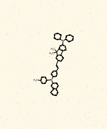 Cc1ccc(N(c2ccc(/C=C/c3ccc4c(c3)C(C)(C)c3cc(N(c5ccccc5)c5ccccc5)ccc3-4)cc2)c2ccc3ccccc3c2)cc1